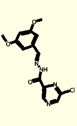 COc1cc(/C=N/NC(=O)c2cncc(Cl)n2)cc(OC)c1